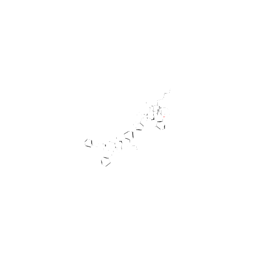 CCCCCC(C(=O)NCNC(=O)c1ccc(-c2ccc(C(=O)NC(CC(=O)OCc3ccccc3)C(=O)OCc3ccccc3)c(OCC)c2)o1)[C@@H](CC)N(C=O)OC(=O)c1c(C)cccc1F